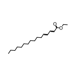 CCCCCCCCCCC/C=C/C=C/C(=O)OCC